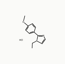 CCn1ccnc1-c1ccc(OC)cc1.Cl